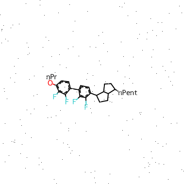 CCCCCC1CCC2C(c3ccc(-c4ccc(OCCC)c(F)c4F)c(F)c3F)CCC12